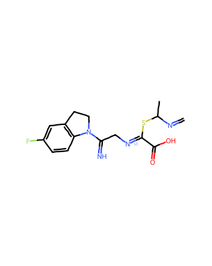 C=NC(C)S/C(=N\CC(=N)N1CCc2cc(F)ccc21)C(=O)O